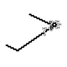 CCCCCCCC/C=C\CCCCCCCCCCCCCCCCCCCC(=O)OC[C@H](O)COP(=O)(O)O[C@@H]1C(OC(=O)CCCCCCCCCCCCCCC)C(O)[C@@H](O)C(O)[C@H]1O